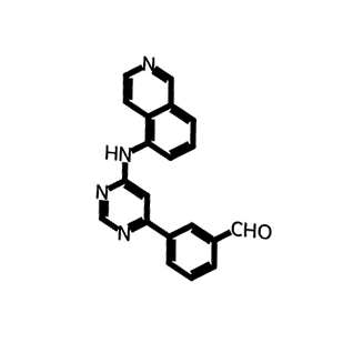 O=Cc1cccc(-c2cc(Nc3cccc4cnccc34)ncn2)c1